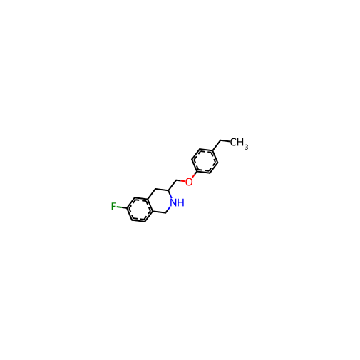 CCc1ccc(OCC2Cc3cc(F)ccc3CN2)cc1